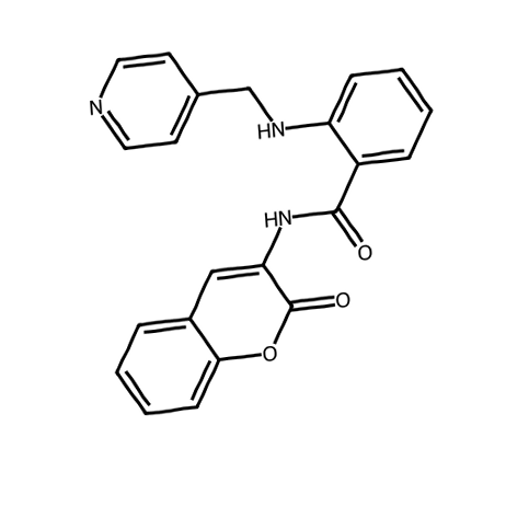 O=C(Nc1cc2ccccc2oc1=O)c1ccccc1NCc1ccncc1